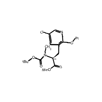 COC(=O)[C@H](Cc1cc(Cl)cnc1OC(C)C)N(C)C(=O)OC(C)(C)C